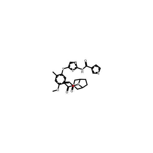 C=CC(=O)N1C2CCC1CN(C(=O)c1cc(Sc3cnc(NC(=O)c4ccsc4)s3)c(C)cc1OC)C2